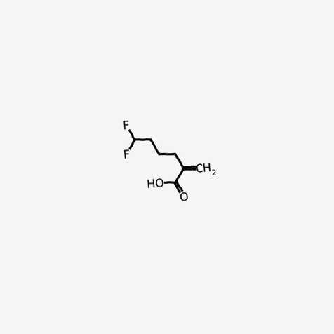 C=C(CCCC(F)F)C(=O)O